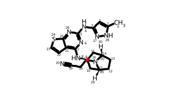 Cc1cc(Nc2nc(N[C@@H]3C[C@H]4CC[C@@H](C3)N4CCC#N)c3ccsc3n2)n[nH]1